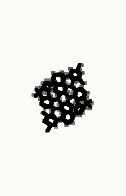 Cc1cc(C)c(B2c3ccc4c(c3N3c5cc6ccccc6c6c5N(c5cc7ccccc7c2c53)c2c(ccc3c2-c2ccccc2C3(C)C)B6c2c(C)cc(C)cc2C)-c2ccccc2C4(C)C)c(C)c1